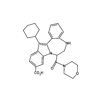 O=C(O)c1ccc2c(C3CCCCC3)c3n(c2c1)C(C(=O)N1CCOCC1)CNc1ccccc1-3